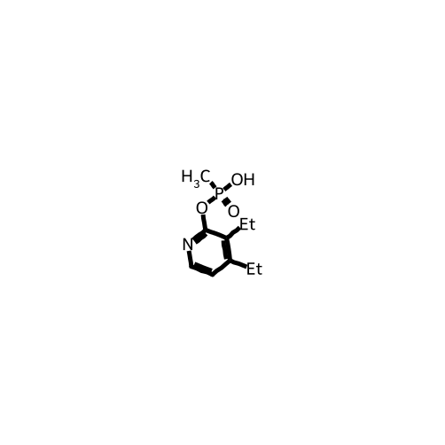 CCc1ccnc(OP(C)(=O)O)c1CC